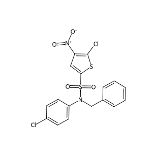 O=[N+]([O-])c1cc(S(=O)(=O)N(Cc2ccccc2)c2ccc(Cl)cc2)sc1Cl